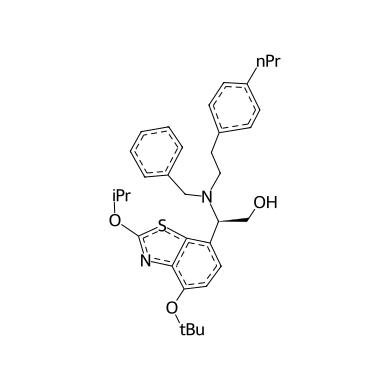 CCCc1ccc(CCN(Cc2ccccc2)[C@@H](CO)c2ccc(OC(C)(C)C)c3nc(OC(C)C)sc23)cc1